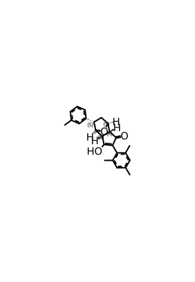 Cc1cccc([C@@H]2C[C@@H]3O[C@H]2[C@H]2C(O)=C(c4c(C)cc(C)cc4C)C(=O)[C@H]23)c1